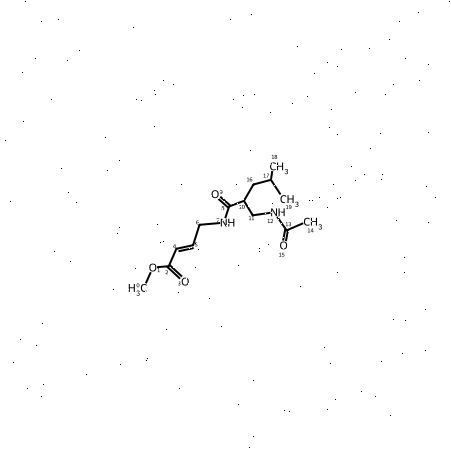 COC(=O)/C=C/CNC(=O)C(CNC(C)=O)CC(C)C